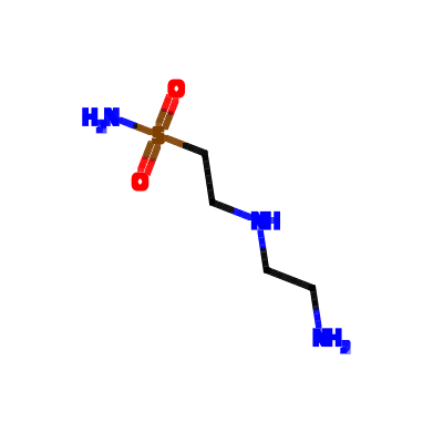 NCCNCCS(N)(=O)=O